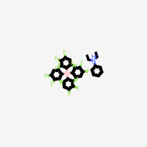 CC[NH+](CC)c1ccccc1.Fc1cc(F)c([B-](c2c(F)cc(F)c(F)c2F)(c2c(F)cc(F)c(F)c2F)c2c(F)cc(F)c(F)c2F)c(F)c1F